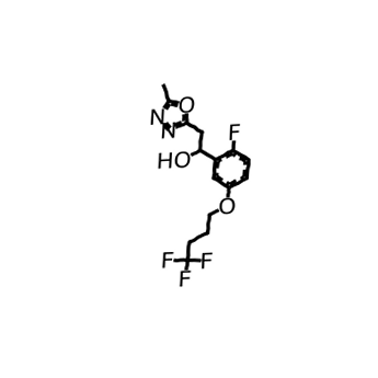 Cc1nnc(CC(O)c2cc(OCCCC(F)(F)F)ccc2F)o1